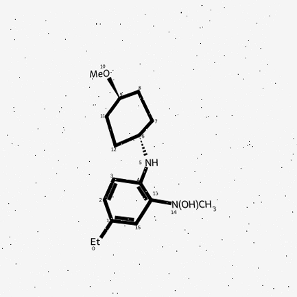 CCc1ccc(N[C@H]2CC[C@H](OC)CC2)c(N(C)O)c1